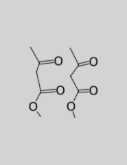 COC(=O)CC(C)=O.COC(=O)CC(C)=O